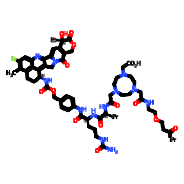 CC[C@@]1(O)C(=O)OCc2c1cc1n(c2=O)Cc2c-1nc1cc(F)c(C)c3c1c2[C@@H](NC(=O)OCc1ccc(NC(=O)[C@H](CCCNC(N)=O)NC(=O)[C@@H](NC(=O)CN2CCN(CC(=O)O)CCN(CC(=O)NCCOCCC(=O)C(C)C)CC2)C(C)C)cc1)CC3